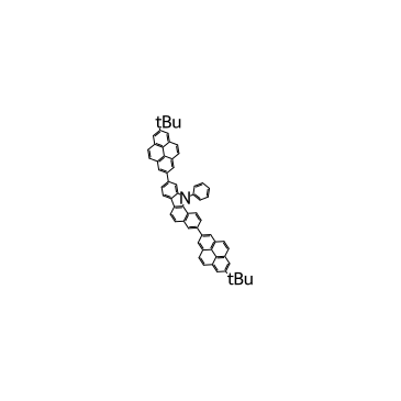 CC(C)(C)c1cc2ccc3cc(-c4ccc5c(ccc6c7ccc(-c8cc9ccc%10cc(C(C)(C)C)cc%11ccc(c8)c9c%10%11)cc7n(-c7ccccc7)c56)c4)cc4ccc(c1)c2c34